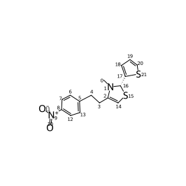 CN1C(CCc2ccc([N+](=O)[O-])cc2)=CS[C@H]1c1cccs1